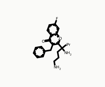 CC(C)C(N)(CCCN)c1oc2cc(F)ccc2c(=O)c1Cc1ccccc1